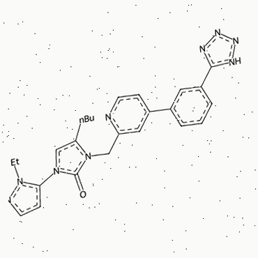 CCCCc1cn(-c2ccnn2CC)c(=O)n1Cc1cc(-c2cccc(-c3nnn[nH]3)c2)ccn1